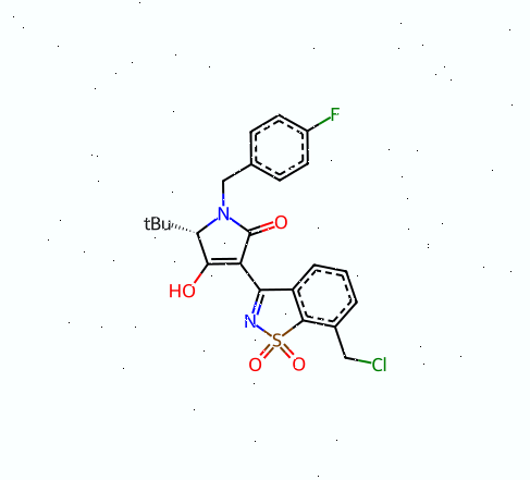 CC(C)(C)[C@H]1C(O)=C(C2=NS(=O)(=O)c3c(CCl)cccc32)C(=O)N1Cc1ccc(F)cc1